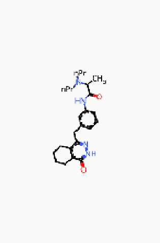 CCCN(CCC)[C@@H](C)C(=O)Nc1cccc(Cc2n[nH]c(=O)c3c2CCCC3)c1